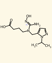 CC(C)n1nccc1CN(CCCC(=O)O)/C(N)=N/O